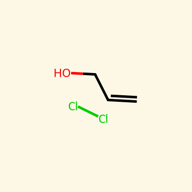 C=CCO.ClCl